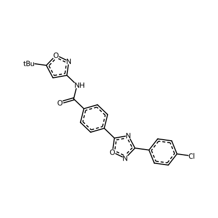 CC(C)(C)c1cc(NC(=O)c2ccc(-c3nc(-c4ccc(Cl)cc4)no3)cc2)no1